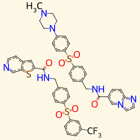 CN1CCN(c2ccc(S(=O)(=O)c3ccc(CNC(=O)c4ccc5nccn5c4)cc3)cc2)CC1.O=C(NCc1ccc(S(=O)(=O)c2cccc(C(F)(F)F)c2)cc1)c1cc2ccncc2s1